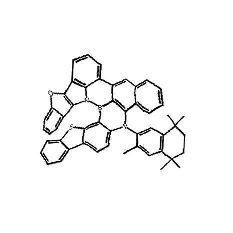 Cc1cc2c(cc1N1c3ccc4c(sc5ccccc54)c3B3c4c(cc5ccccc5c41)-c1cccc4c5oc6ccccc6c5n3c14)C(C)(C)CCC2(C)C